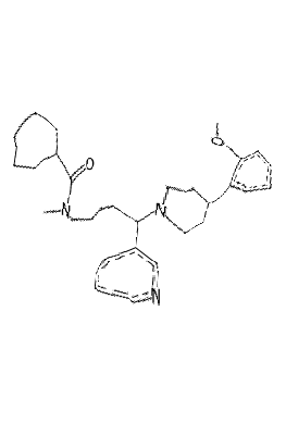 COc1ccccc1C1CCN(C(CCN(C)C(=O)C2CCCCC2)c2cccnc2)CC1